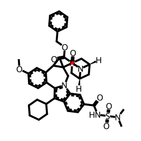 COc1ccc2c(c1)C1CC1(C(=O)N1[C@@H]3C[C@H]1CN(C(=O)OCc1ccccc1)C3)Cn1c-2c(C2CCCCC2)c2ccc(C(=O)NS(=O)(=O)N(C)C)cc21